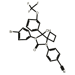 N#Cc1ccc(N2C(=O)N(c3ccc(Br)cc3)C(O)(c3cccc(OC(F)(F)F)c3)C23CCC3)cc1